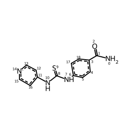 NC(=O)c1ccc(NC(=S)Nc2ccncc2)cc1